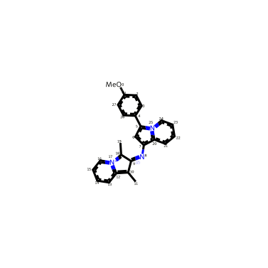 COc1ccc(-c2cc(/N=C3/C(C)=c4cccc[n+]4=C3C)c3ccccn23)cc1